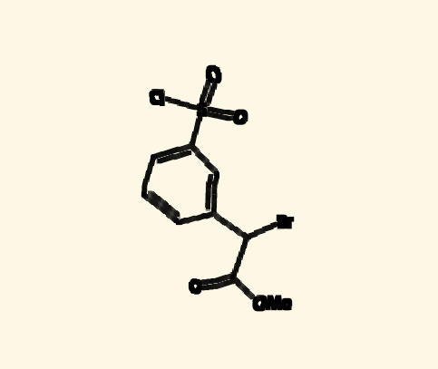 COC(=O)C(Br)c1cccc(S(=O)(=O)Cl)c1